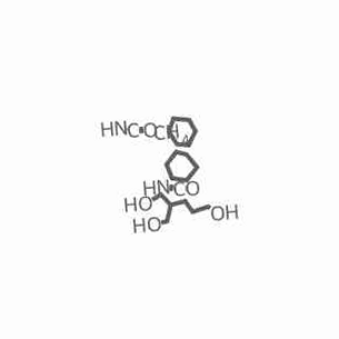 C.C1CCCCC1.C1CCCCC1.N=C=O.N=C=O.OCCCC(CO)CO